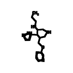 CCCNC1CNCC(COc2cccnc2)C1c1ccn[nH]1